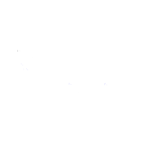 CC(C)c1n[nH]c2cc(OCCNCC(O)c3cccc(NS(=O)(=O)c4ccccc4)c3)ccc12